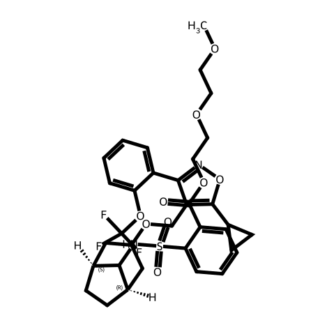 COCCOCCOC(=O)c1ccccc1S(=O)(=O)NC1[C@@H]2CC[C@H]1CC(OCc1c(-c3ccccc3OC(F)(F)F)noc1C1CC1)C2